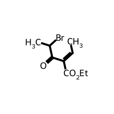 CC=C(C(=O)OCC)C(=O)C(C)Br